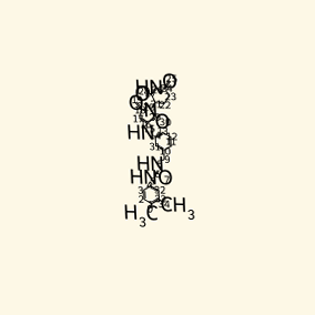 Cc1ccc(NC(=O)NCc2cccc(NC3=CC(=O)N(C4CCC(=O)NC4=O)C3=O)c2)cc1C